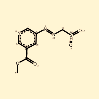 COC(=O)c1cncc(N=NC[SH](=O)=O)c1